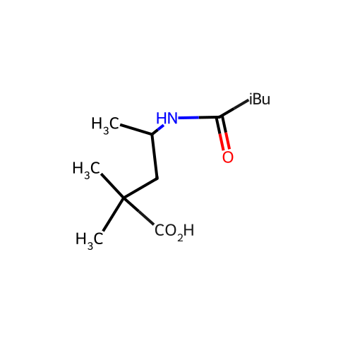 CCC(C)C(=O)NC(C)CC(C)(C)C(=O)O